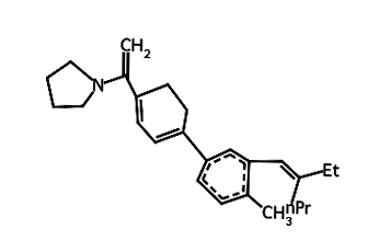 C=C(C1=CC=C(c2ccc(C)c(/C=C(/CC)CCC)c2)CC1)N1CCCC1